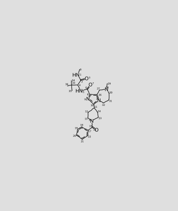 CNC(=O)C(NC(=O)c1nc(C2CCN(C(=O)c3ccccc3)CC2)n2c1CN(C)CCC2)C(C)(C)C